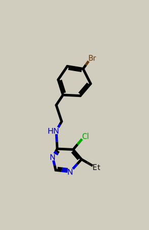 CCc1ncnc(NCCc2ccc(Br)cc2)c1Cl